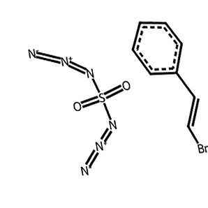 BrC=Cc1ccccc1.[N-]=[N+]=NS(=O)(=O)N=[N+]=[N-]